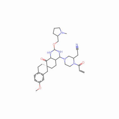 C=CC(=O)N1CCN(C2NC(OCC3CCCN3C)NC3C(=O)[C@@]4(CCc5ccc(OC)cc5C4)CCC32)CC1CC#N